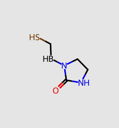 O=C1NCCN1BCS